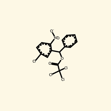 O=C(OC(c1ccccc1)c1cc(Cl)ccc1[N+](=O)[O-])C(Cl)(Cl)Cl